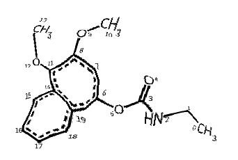 CCNC(=O)Oc1cc(OC)c(OC)c2ccccc12